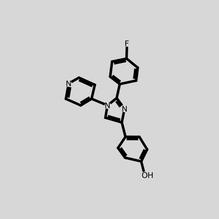 Oc1ccc(-c2cn(-c3ccncc3)c(-c3ccc(F)cc3)n2)cc1